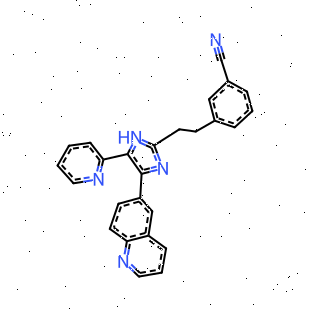 N#Cc1cccc(CCc2nc(-c3ccc4ncccc4c3)c(-c3ccccn3)[nH]2)c1